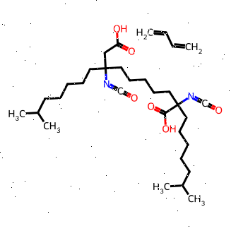 C=CC=C.CC(C)CCCCCC(CCCCCC(CCCCCC(C)C)(N=C=O)C(=O)O)(CC(=O)O)N=C=O